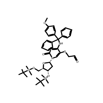 COc1ccc(C(Nc2nc(=O)n([C@@H]3C[C@H](O[Si](C)(C)C(C)(C)C)[C@@H](CO[Si](C)(C)C(C)(C)C)O3)cc2SCC=O)(c2ccccc2)c2ccccc2)cc1